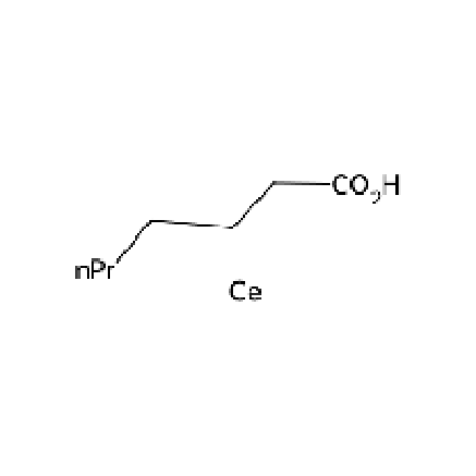 CCCCCCC(=O)O.[Ce]